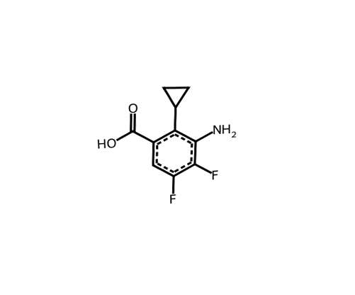 Nc1c(F)c(F)cc(C(=O)O)c1C1CC1